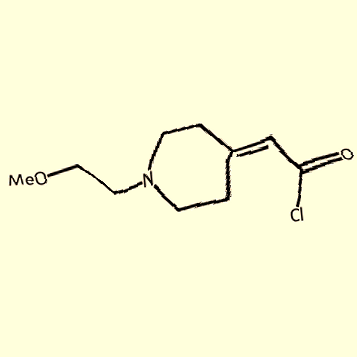 COCCN1CCC(=CC(=O)Cl)CC1